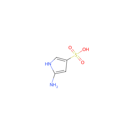 Nc1cc(S(=O)(=O)O)c[nH]1